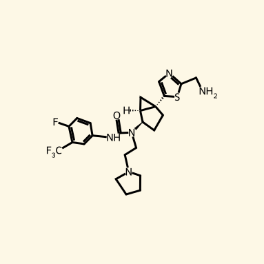 NCc1ncc([C@]23CC[C@@H](N(CCN4CCCC4)C(=O)Nc4ccc(F)c(C(F)(F)F)c4)[C@H]2C3)s1